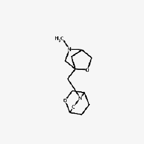 CN1CC2(CN3CC4CCC3CO4)CC1CO2